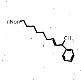 CCCCCCCCCCCCCCCC=CC(C)c1ccccc1